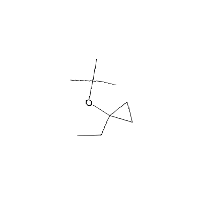 CCC1(OC(C)(C)C)CC1